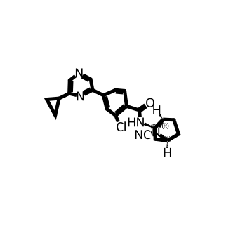 N#CN1[C@H]2CC[C@@H]1[C@H](NC(=O)c1ccc(-c3cncc(C4CC4)n3)cc1Cl)C2